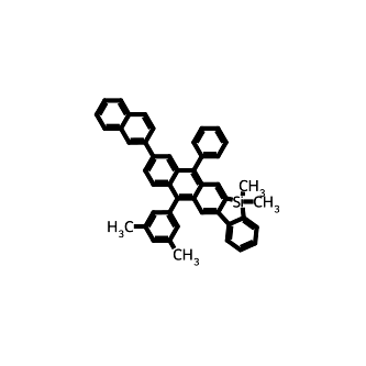 Cc1cc(C)cc(-c2c3ccc(-c4ccc5ccccc5c4)cc3c(-c3ccccc3)c3cc4c(cc23)-c2ccccc2[Si]4(C)C)c1